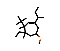 CCC(C)C1=CC(C)(C(C)(C)C)C(C)(CC)CC(SC)C1